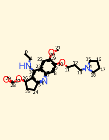 CCNc1c2c(nc3cc(OCCCN4CCCC4)c(OC)cc13)CCC2OC=O